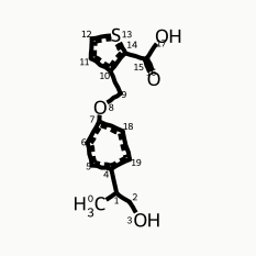 CC(CO)c1ccc(OCc2ccsc2C(=O)O)cc1